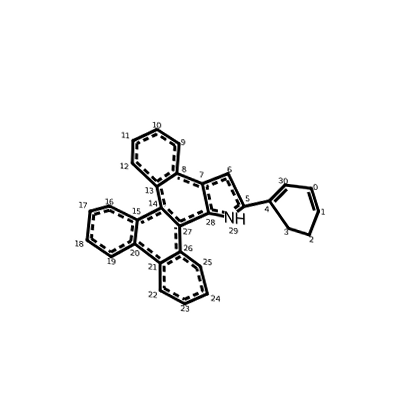 C1=CCCC(c2cc3c4ccccc4c4c5ccccc5c5ccccc5c4c3[nH]2)=C1